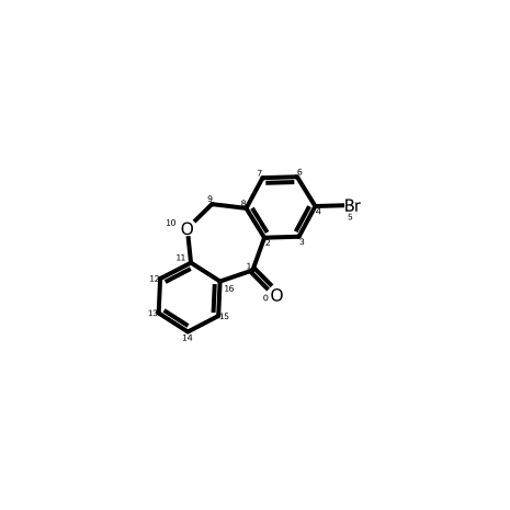 O=C1c2cc(Br)ccc2COc2ccccc21